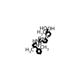 Cc1ccccc1-c1nc(NS(=O)(=O)c2cccc(N3CCC[C@@](C)(C(O)O)C3)n2)ccc1C